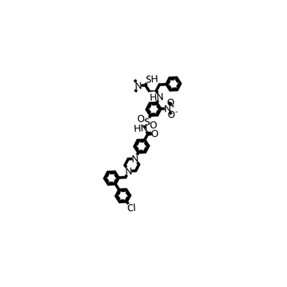 CN(C)C(S)C[C@@H](Cc1ccccc1)Nc1ccc(S(=O)(=O)NC(=O)c2ccc(N3CCN(Cc4ccccc4-c4ccc(Cl)cc4)CC3)cc2)cc1[N+](=O)[O-]